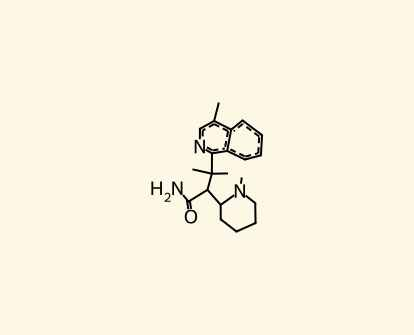 Cc1cnc(C(C)(C)C(C(N)=O)C2CCCCN2C)c2ccccc12